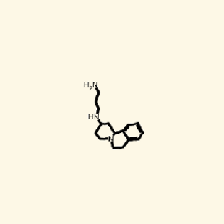 NCCCNC1CCN2CCc3ccccc3C2C1